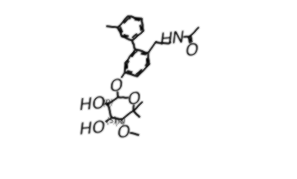 CO[C@@H]1[C@@H](O)[C@@H](O)C(Oc2ccc(CCNC(C)=O)c(-c3cccc(C)c3)c2)OC1(C)C